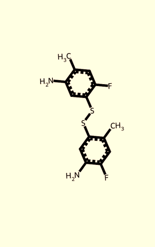 Cc1cc(F)c(SSc2cc(N)c(F)cc2C)cc1N